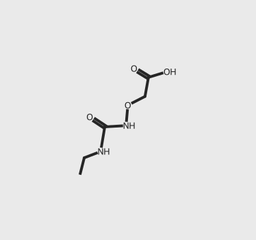 CCNC(=O)NOCC(=O)O